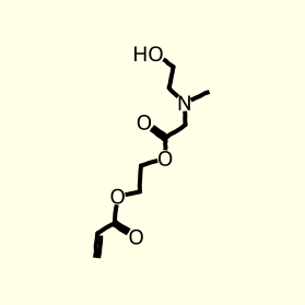 C=CC(=O)OCCOC(=O)CN(C)CCO